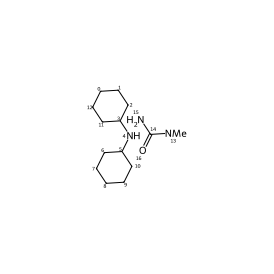 C1CCC(NC2CCCCC2)CC1.CNC(N)=O